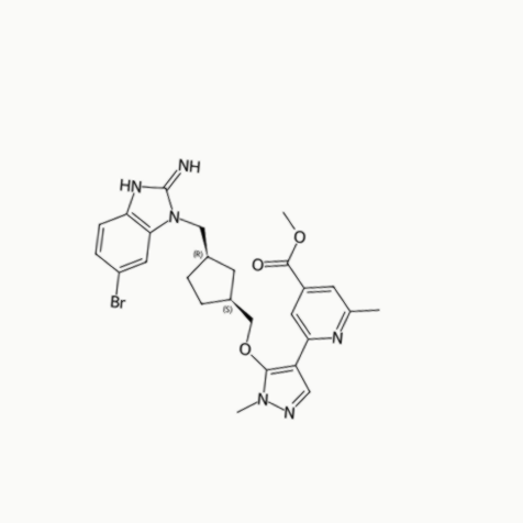 COC(=O)c1cc(C)nc(-c2cnn(C)c2OC[C@H]2CC[C@@H](Cn3c(=N)[nH]c4ccc(Br)cc43)C2)c1